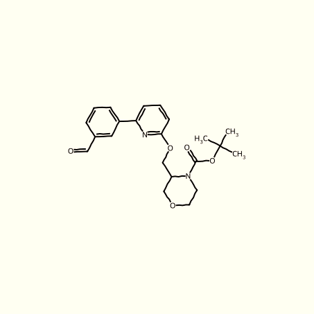 CC(C)(C)OC(=O)N1CCOCC1COc1cccc(-c2cccc(C=O)c2)n1